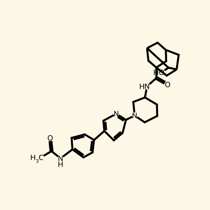 CC(=O)Nc1ccc(-c2ccc(N3CCCC(NC(=O)C45CC6CC(C4)C(O)C(C6)C5)C3)nc2)cc1